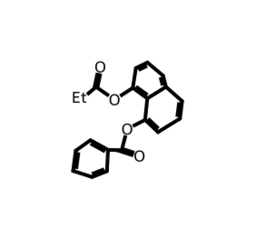 CCC(=O)Oc1cccc2cccc(OC(=O)c3ccccc3)c12